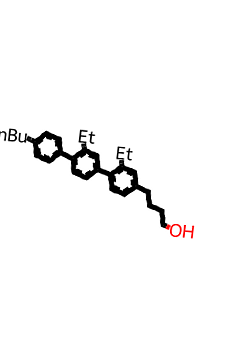 CCCCc1ccc(-c2ccc(-c3ccc(CCCCO)cc3CC)cc2CC)cc1